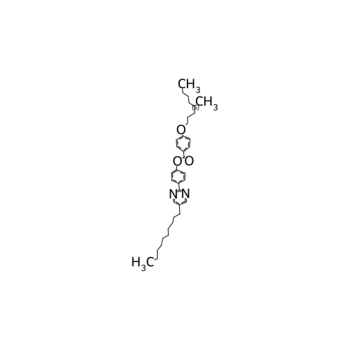 CCCCCCCCCCc1cnc(-c2ccc(OC(=O)c3ccc(OCCC[C@@H](C)CCCC)cc3)cc2)nc1